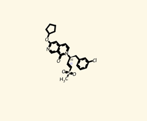 CS(=O)(=O)/C=C/[C@H](Cc1cccc(Cl)c1)n1ccc2cc(OC3CCCC3)ncc2c1=O